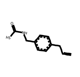 C=CCc1ccc(CNC(=O)S)cc1